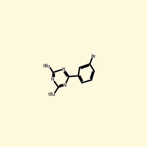 CC(C)(C)c1nc(-c2cccc(Br)c2)nc(C(C)(C)C)n1